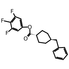 O=C(Oc1cc(F)c(F)c(F)c1)[C@H]1CC[C@H](Cc2ccccc2)CC1